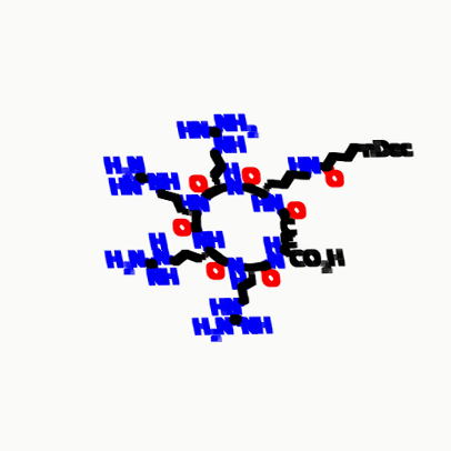 CCCCCCCCCCCCCC(=O)NCCCC[C@@H]1NC(=O)CC[C@@H](C(=O)O)NC(=O)[C@H](CCCNC(=N)N)NC(=O)[C@H](CCCNC(=N)N)NC(=O)[C@H](CCCNC(=N)N)NC(=O)[C@H](CCCNC(=N)N)NC1=O